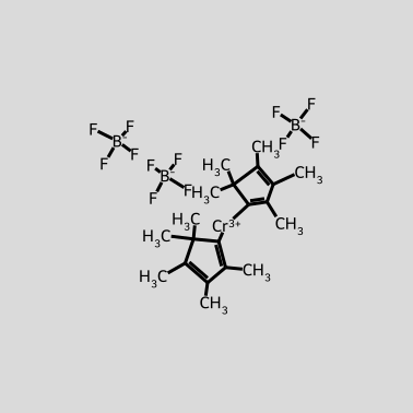 CC1=C(C)C(C)(C)[C]([Cr+3][C]2=C(C)C(C)=C(C)C2(C)C)=C1C.F[B-](F)(F)F.F[B-](F)(F)F.F[B-](F)(F)F